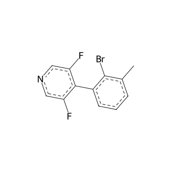 Cc1cccc(-c2c(F)cncc2F)c1Br